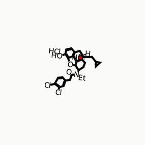 CCN(C(=O)Cc1ccc(Cl)c(Cl)c1)C1CC[C@@]2(O)[C@H]3Cc4ccc(O)c5c4[C@@]2(CCN3CC2CC2)C1O5.Cl